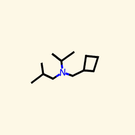 CC(C)CN(CC1CCC1)C(C)C